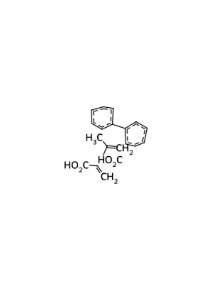 C=C(C)C(=O)O.C=CC(=O)O.c1ccc(-c2ccccc2)cc1